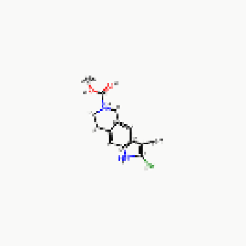 CC(C)c1c(Br)[nH]c2cc3c(cc12)CN(C(=O)OC(C)(C)C)CC3